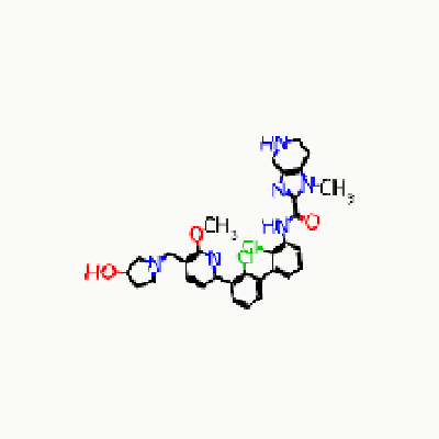 COc1nc(-c2cccc(-c3cccc(NC(=O)c4nc5c(n4C)CCNC5)c3Cl)c2Cl)ccc1CN1CC[C@@H](O)C1